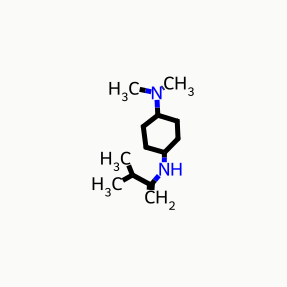 C=C(NC1CCC(N(C)C)CC1)C(C)C